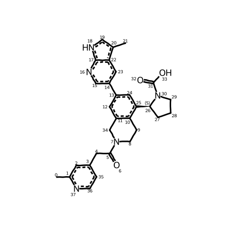 Cc1cc(CC(=O)N2CCc3c(cc(-c4cnc5[nH]cc(C)c5c4)cc3[C@@H]3CCCN3C(=O)O)C2)ccn1